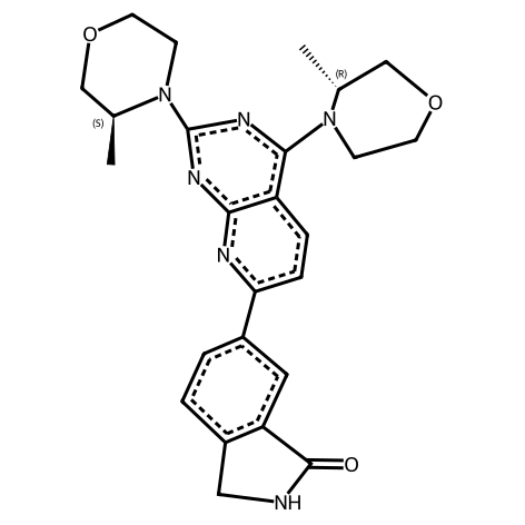 C[C@@H]1COCCN1c1nc(N2CCOC[C@@H]2C)nc2nc(-c3ccc4c(c3)C(=O)NC4)ccc12